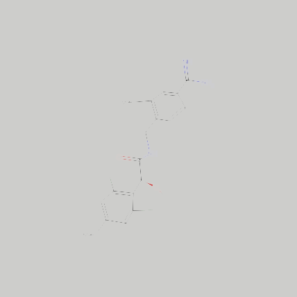 CCO[C@H](C(=O)NCc1ccc(C(=N)N)cc1OC)c1c(F)cc(OC)cc1F.Cl